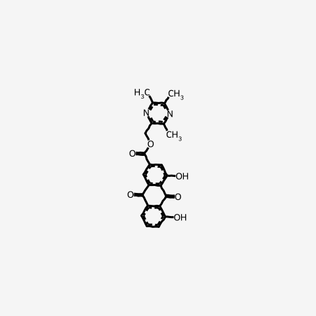 Cc1nc(C)c(COC(=O)c2cc(O)c3c(c2)C(=O)c2cccc(O)c2C3=O)nc1C